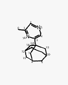 Cc1cncc(C23CC4CC(CC(C4)C2)C3)n1